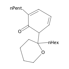 CCCCCCC1(C2C=CC=C(CCCCC)C2=O)CCCCO1